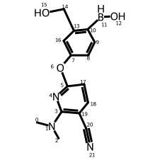 CN(C)c1nc(Oc2ccc(BO)c(CO)c2)ccc1C#N